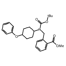 COC(=O)c1ccccc1CN(C(=O)OC(C)(C)C)C1CCC(Oc2ccccc2)CC1